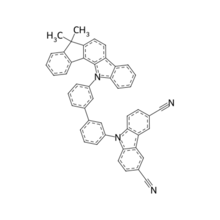 CC1(C)c2ccccc2-c2c1ccc1c3ccccc3n(-c3cccc(-c4cccc(-n5c6ccc(C#N)cc6c6cc(C#N)ccc65)c4)c3)c21